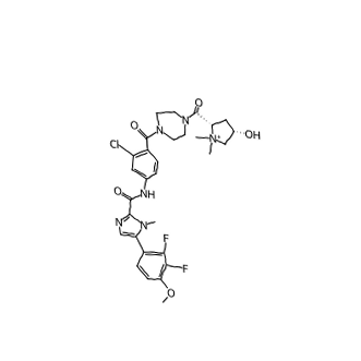 COc1ccc(-c2cnc(C(=O)Nc3ccc(C(=O)N4CCN(C(=O)[C@@H]5C[C@H](O)C[N+]5(C)C)CC4)c(Cl)c3)n2C)c(F)c1F